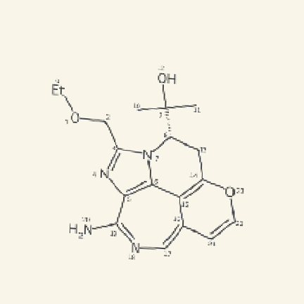 CCOCc1nc2c3n1[C@H](C(C)(C)O)CC1=C3C(=CN=C2N)C=CO1